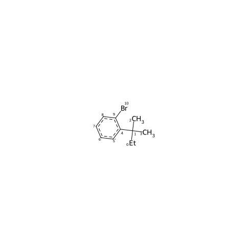 CCC(C)(C)c1[c]cccc1Br